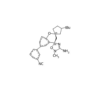 [C-]#[N+]c1cccc(-c2ccc3c(c2)[C@]2(C[C@]4(CCC(C(C)(C)C)C4)O3)N=C(N)N(C)O2)c1